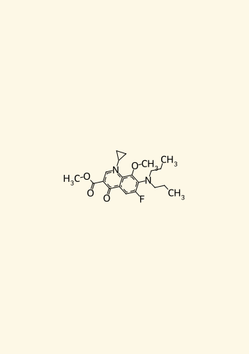 CCCN(CCC)c1c(F)cc2c(=O)c(C(=O)OC)cn(C3CC3)c2c1OC